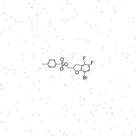 Cc1ccc(S(=O)(=O)OCC2Cc3c(F)c(F)cc(Br)c3O2)cc1